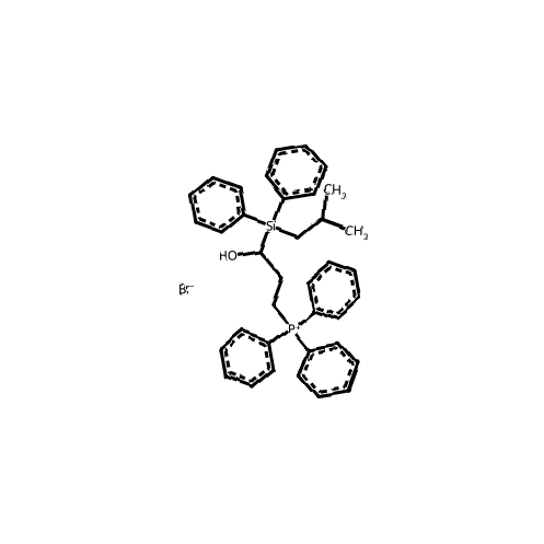 CC(C)C[Si](c1ccccc1)(c1ccccc1)C(O)CC[P+](c1ccccc1)(c1ccccc1)c1ccccc1.[Br-]